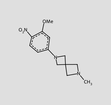 COc1cc(N2CC3(CN(C)C3)C2)ccc1[N+](=O)[O-]